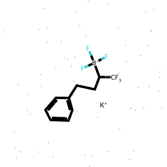 F[B-](F)(F)C(CCc1ccccc1)C(F)(F)F.[K+]